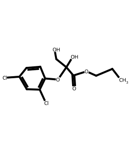 CCCOC(=O)C(O)(CO)Oc1ccc(Cl)cc1Cl